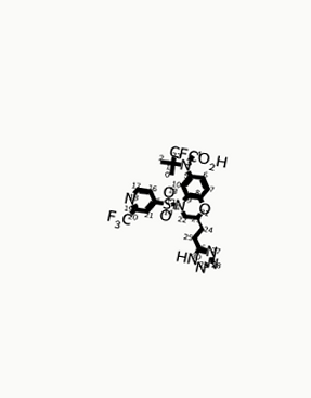 CC(C)(N(C(=O)O)c1ccc2c(c1)N(S(=O)(=O)c1ccnc(C(F)(F)F)c1)C[C@H](CCc1nnn[nH]1)O2)C(F)(F)F